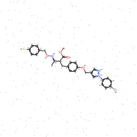 COC(=O)C(Cc1ccc(OCc2cnn(-c3ccc(Cl)cc3)c2)cc1)/C(C)=N/OCc1ccc(F)cc1